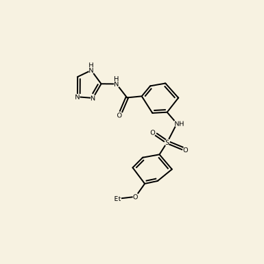 CCOc1ccc(S(=O)(=O)Nc2cccc(C(=O)Nc3nnc[nH]3)c2)cc1